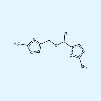 Cc1ccc(COC(O)c2ccc(C)o2)o1